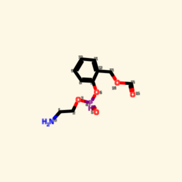 NCCO[PH](=O)Oc1ccccc1COC=O